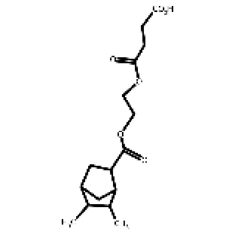 CC1C2CC(C(=O)OCCOC(=O)CCC(=O)O)C(C2)C1C